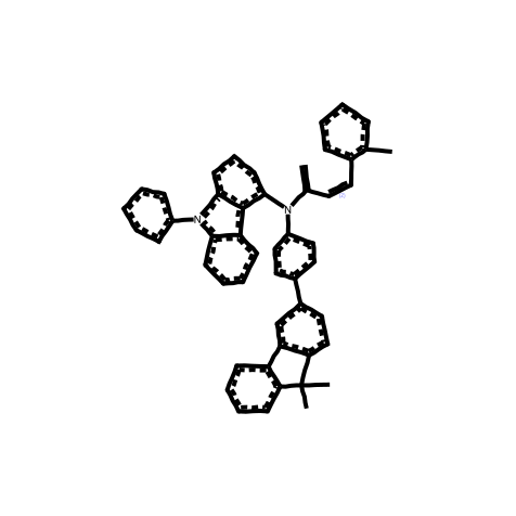 C=C(/C=C\c1ccccc1C)N(c1ccc(-c2ccc3c(c2)-c2ccccc2C3(C)C)cc1)c1cccc2c1c1ccccc1n2-c1ccccc1